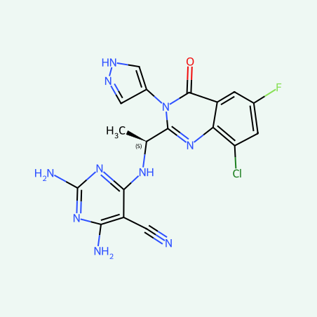 C[C@H](Nc1nc(N)nc(N)c1C#N)c1nc2c(Cl)cc(F)cc2c(=O)n1-c1cn[nH]c1